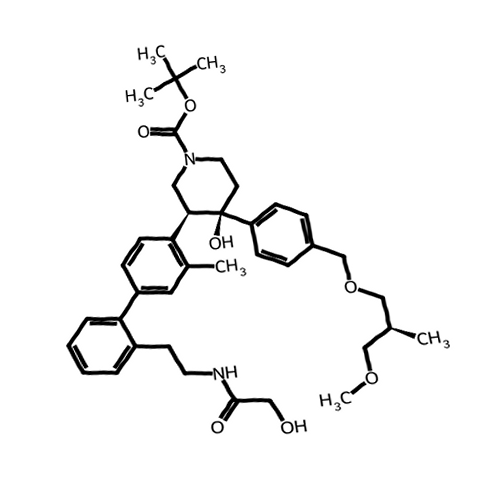 COC[C@H](C)COCc1ccc([C@@]2(O)CCN(C(=O)OC(C)(C)C)C[C@@H]2c2ccc(-c3ccccc3CCNC(=O)CO)cc2C)cc1